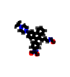 CC(C)N1CCN(c2ccc(/C(=C(/CCCN=O)C3=CCCC=C3)c3ccc([N+](=O)[O-])cc3)cc2)CC1